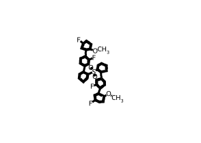 COc1ccc(F)cc1-c1ccc(-c2ccccc2S(=O)(=O)c2ccccc2-c2ccc(-c3cc(F)ccc3OC)c(F)c2)cc1F